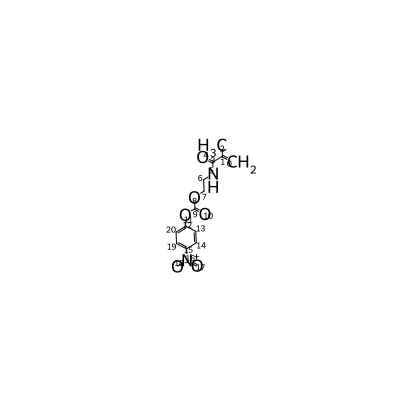 C=C(C)C(=O)NCCOC(=O)Oc1ccc([N+](=O)[O-])cc1